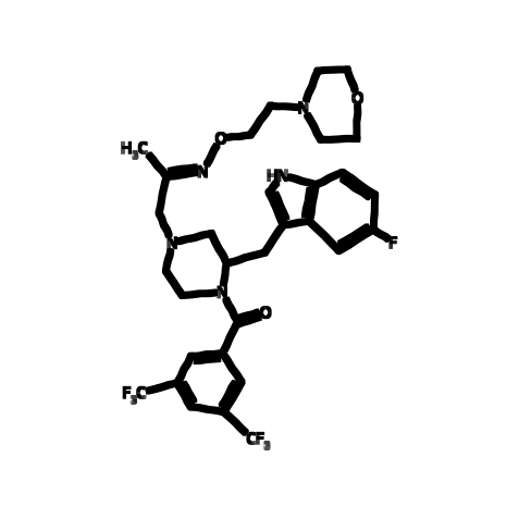 CC(CN1CCN(C(=O)c2cc(C(F)(F)F)cc(C(F)(F)F)c2)C(Cc2c[nH]c3ccc(F)cc23)C1)=NOCCN1CCOCC1